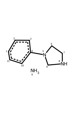 N.c1ccc(N2CCNC2)cc1